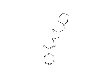 O[C@@H](CON=C(Cl)c1cccnc1)CN1CCCCC1